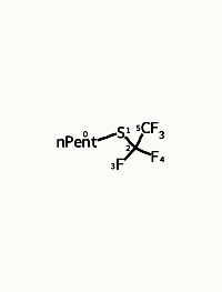 [CH2]CCCCSC(F)(F)C(F)(F)F